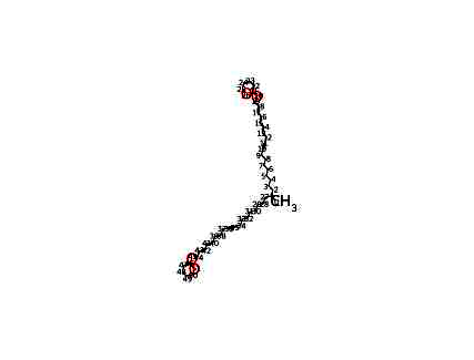 CC(CCCCCCCCC#CCCCCCCCCOC1CCCCO1)CCCCCCCCC#CCCCCCCCCOC1CCCCO1